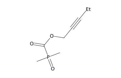 CCC#CCOC(=O)P(C)(C)=O